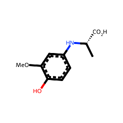 COc1cc(N[C@@H](C)C(=O)O)ccc1O